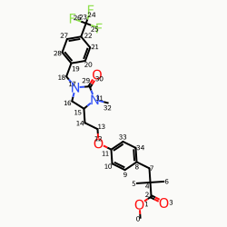 COC(=O)C(C)(C)Cc1ccc(OCCC2CN(Cc3ccc(C(F)(F)F)cc3)C(=O)N2C)cc1